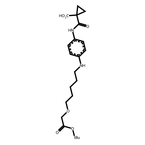 CC(C)(C)OC(=O)COCCCCCNc1ccc(NC(=O)C2(C(=O)O)CC2)cc1